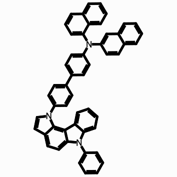 c1ccc(-n2c3ccccc3c3c4c(ccc32)ccn4-c2ccc(-c3ccc(N(c4ccc5ccccc5c4)c4cccc5ccccc45)cc3)cc2)cc1